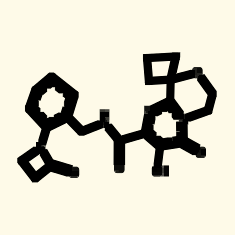 O=C(NCc1ccccc1N1CCC1=O)c1nc2n(c(=O)c1O)CCOC21CCC1